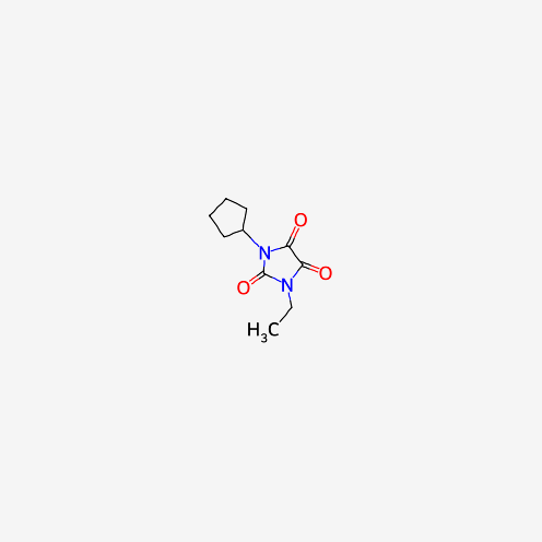 CCN1C(=O)C(=O)N(C2CCCC2)C1=O